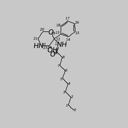 CCCCCCCCCC(=O)NC1(c2ccccc2)OCCNC1O